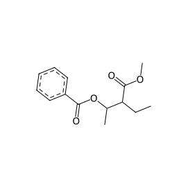 CCC(C(=O)OC)C(C)OC(=O)c1ccccc1